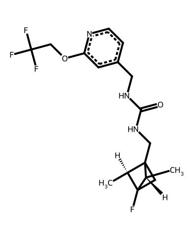 C[C@@H]1C2(F)CC1(CNC(=O)NCc1ccnc(OCC(F)(F)F)c1)[C@@H]2C